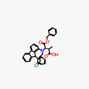 CC(C(=O)O)[C@H](C(=O)OCc1ccccc1)N(CCCCl)c1cccc2c1C(c1ccccc1)c1ccccc1-2